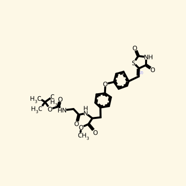 COC(=O)C(Cc1ccc(Oc2ccc(/C=C3\SC(=O)NC3=O)cc2)cc1)NC(=O)CNC(=O)OC(C)(C)C